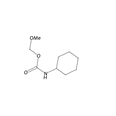 COCOC(=O)NC1CCCCC1